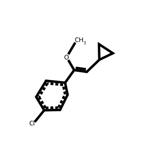 COC(=CC1CC1)c1ccc(Cl)cc1